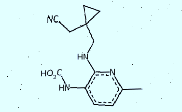 Cc1ccc(NC(=O)O)c(NCC2(CC#N)CC2)n1